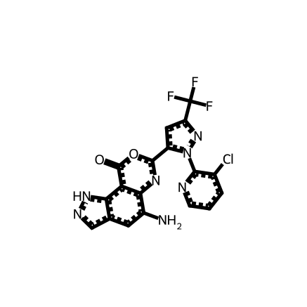 Nc1cc2cn[nH]c2c2c(=O)oc(-c3cc(C(F)(F)F)nn3-c3ncccc3Cl)nc12